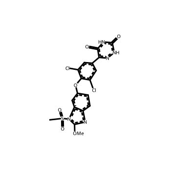 COc1nc2ccc(Oc3c(Cl)cc(-c4n[nH]c(=O)[nH]c4=O)cc3Cl)cc2n1S(C)(=O)=O